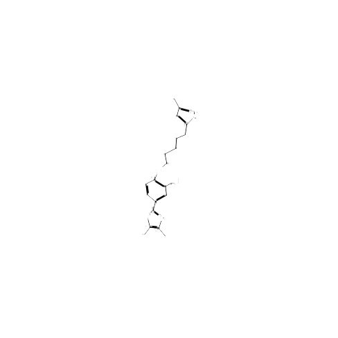 Cc1cc(CCCCCOc2ccc(-c3nc(C)c(C)o3)cc2Cl)on1